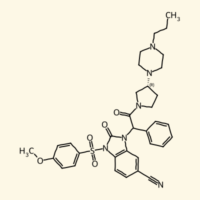 CCCN1CCN([C@@H]2CCN(C(=O)C(c3ccccc3)n3c(=O)n(S(=O)(=O)c4ccc(OC)cc4)c4ccc(C#N)cc43)C2)CC1